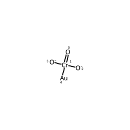 [O]=[Cr]([O-])([O-])[Au]